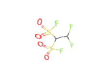 O=S(=O)(F)C(C(F)F)S(=O)(=O)F